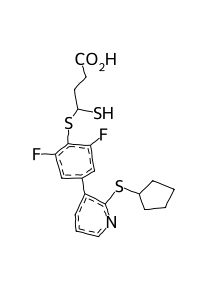 O=C(O)CCC(S)Sc1c(F)cc(-c2cccnc2SC2CCCC2)cc1F